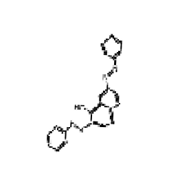 Oc1c(N=Nc2ccccc2)ccc2ccc(N=Nc3ccccc3)cc12